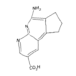 Nc1nc2ncc(C(=O)O)cc2c2c1CCC2